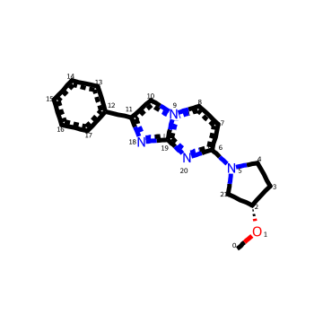 CO[C@H]1CCN(c2ccn3cc(-c4ccccc4)nc3n2)C1